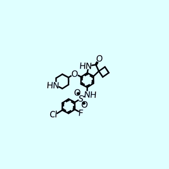 O=C1Nc2c(OC3CCNCC3)cc(NS(=O)(=O)c3ccc(Cl)cc3F)cc2C12CCC2